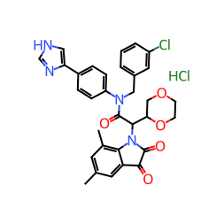 Cc1cc(C)c2c(c1)C(=O)C(=O)N2C(C(=O)N(Cc1cccc(Cl)c1)c1ccc(-c2c[nH]cn2)cc1)C1COCCO1.Cl